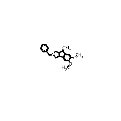 C=C1c2cc(OC)c(OC)cc2C2CN(Cc3ccccc3)CC12